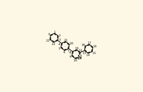 c1ccc(-c2ccc(-c3ccnc(-c4ccccc4)c3)cc2)cc1